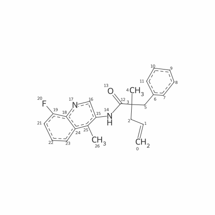 C=CCC(C)(Cc1ccccc1)C(=O)Nc1cnc2c(F)cccc2c1C